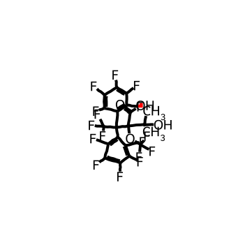 CC(C)(O)C(OC(F)(F)F)(C(=O)O)C(c1c(F)c(F)c(F)c(F)c1F)(c1c(F)c(F)c(F)c(F)c1F)C(F)(F)F